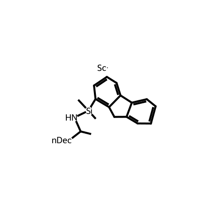 CCCCCCCCCCC(C)N[Si](C)(C)c1cccc2c1Cc1ccccc1-2.[Sc]